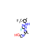 Cc1cc(Nc2ncc(F)c(-n3cc(C)c(CN4CC[C@@H](O)C4)c3)n2)cc(C(F)(F)F)c1